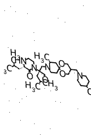 CC(C)C[C@@H]1NCCN([C@](C=O)(CC(C)C)CN2CCC3(C[C@@H]2C)OCC(CN2CCC(C)CC2)CO3)C1=O